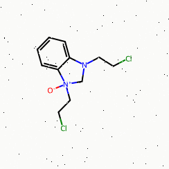 [O-][N+]1(CCCl)CN(CCCl)c2ccccc21